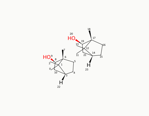 CC1(C)[C@@H]2CC[C@@]1(C)[C@H](O)C2.CC1(C)[C@@H]2CC[C@@]1(C)[C@H](O)C2